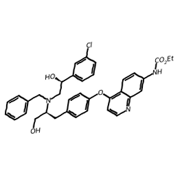 CCOC(=O)Nc1ccc2c(Oc3ccc(C[C@@H](CO)N(Cc4ccccc4)C[C@@H](O)c4cccc(Cl)c4)cc3)ccnc2c1